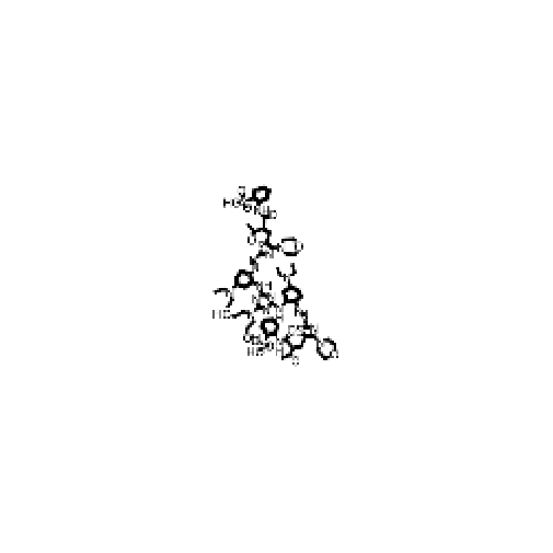 CCN(CC)c1ccc(/N=N/c2nc(N3CCOCC3)c(/C=C(/C(C)=O)C(=O)Nc3ccccc3S(=O)(=O)O)s2)c(Nc2nc(Nc3cc(N(CC)CC)ccc3/N=N/c3nc(N4CCOCC4)c(/C=C(\C(C)=O)C(=O)Nc4ccccc4S(=O)(=O)O)s3)nc(N(CCO)CCO)n2)c1